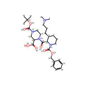 CN(C)CCC[C@H]1CCCN(C(=O)OCc2ccccc2)[C@H]1C(=O)N1CCN(C(=O)OC(C)(C)C)CC1C(=O)O